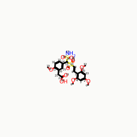 COc1cc(OC)c(/C=C/S(=O)(=O)C(c2ccc(OC)c(CC(=O)O)c2)S(N)(=O)=O)c(OC)c1